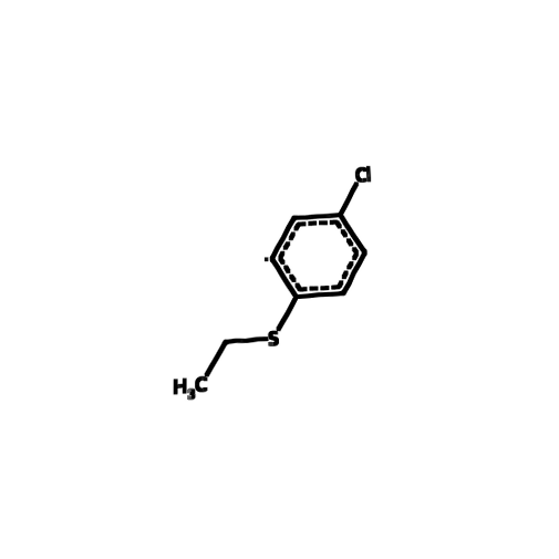 CCSc1[c]cc(Cl)cc1